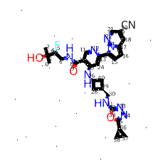 CC(C)(O)[C@H](F)CNC(=O)c1cnc(-c2ccc3cc(C#N)cnn23)cc1N[C@H]1C[C@H](CNc2nnc(C3CC3)o2)C1